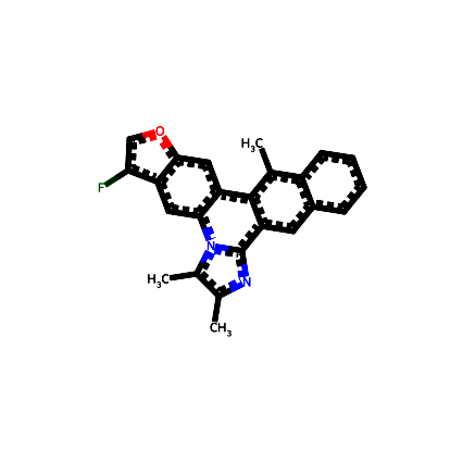 Cc1nc2c3cc4ccccc4c(C)c3c3cc4occ(F)c4cc3n2c1C